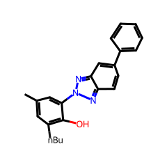 CCCCc1cc(C)cc(-n2nc3ccc(-c4ccccc4)cc3n2)c1O